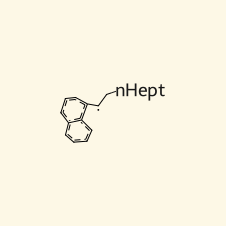 CCCCCCCC[CH]c1cccc2ccccc12